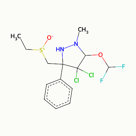 CC[S+]([O-])CC1(c2ccccc2)NN(C)C(OC(F)F)C1(Cl)Cl